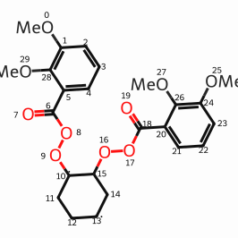 COc1cccc(C(=O)OO[C]2CC[CH]CC2OOC(=O)c2cccc(OC)c2OC)c1OC